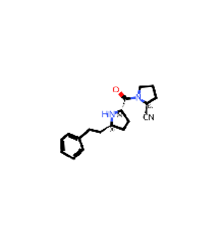 N#C[C@@H]1CCCN1C(=O)[C@@H]1CC[C@@H](CCc2ccccc2)N1